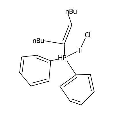 CCCCC=C(CCCC)[PH]([Ti][Cl])(c1ccccc1)c1ccccc1